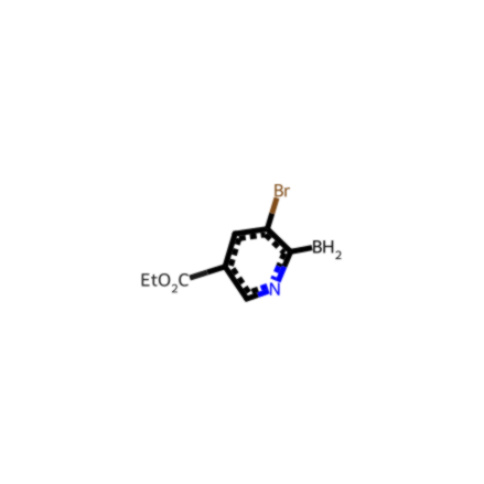 Bc1ncc(C(=O)OCC)cc1Br